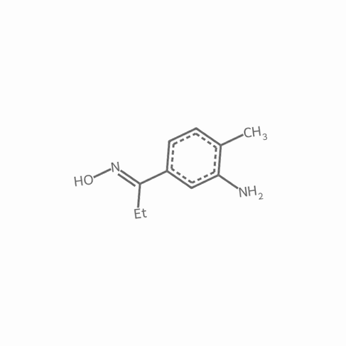 CC/C(=N\O)c1ccc(C)c(N)c1